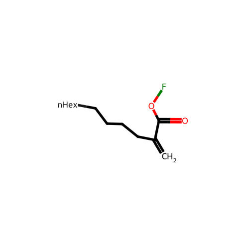 C=C(CCCCCCCCCC)C(=O)OF